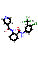 O=C(Nc1ccccc1C(=O)Nc1ccc(Cl)c(C(F)(F)F)c1)c1ccncc1